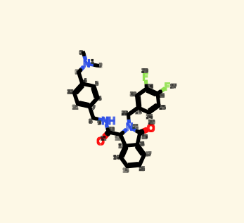 CN(C)Cc1ccc(CNC(=O)C2c3ccccc3C(=O)N2Cc2ccc(F)c(F)c2)cc1